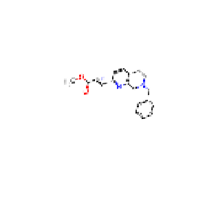 COC(=O)/C=C/c1ccc2c(n1)CN(Cc1ccccc1)CC2